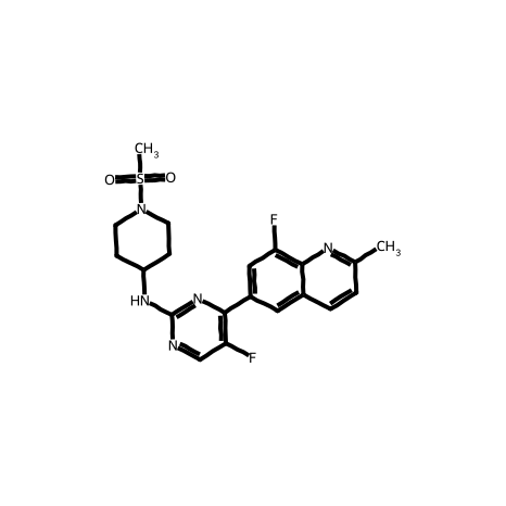 Cc1ccc2cc(-c3nc(NC4CCN(S(C)(=O)=O)CC4)ncc3F)cc(F)c2n1